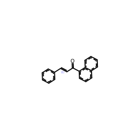 O=C(/C=C/c1ccccc1)c1cccc2ccccc12